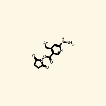 CC(=O)Cc1cc(NN)ncc1C(=O)ON1C(=O)CCC1=O